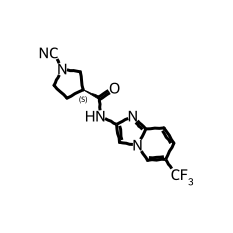 N#CN1CC[C@H](C(=O)Nc2cn3cc(C(F)(F)F)ccc3n2)C1